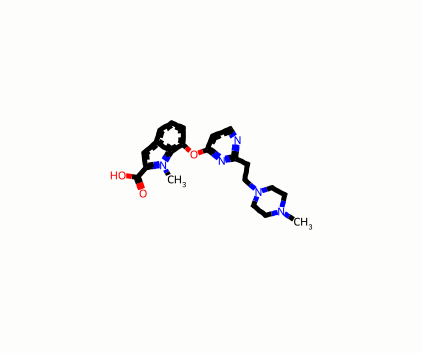 CN1CCN(CCc2nccc(Oc3cccc4cc(C(=O)O)n(C)c34)n2)CC1